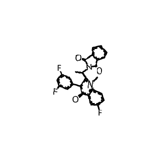 CC(c1c(-c2cc(F)cc(F)c2)c(=O)c2cc(F)ccc2n1C)N1C(=O)c2ccccc2C1=O